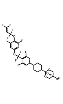 CCCC12COC(C3CCC(c4cc(F)c(C(F)(F)Oc5cc(F)c(OC(F)(F)C=C(F)F)c(F)c5)c(F)c4)CC3)(OC1)OC2